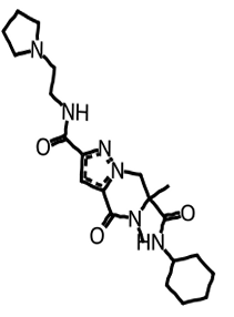 CN1C(=O)c2cc(C(=O)NCCN3CCCC3)nn2CC1(C)C(=O)NC1CCCCC1